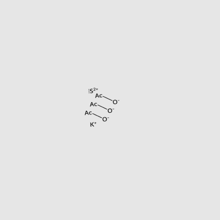 CC(=O)[O-].CC(=O)[O-].CC(=O)[O-].[K+].[S+2]